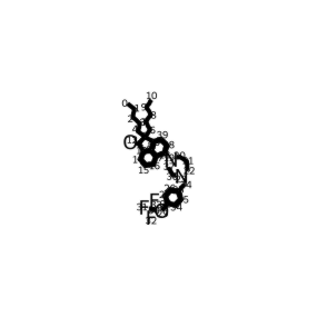 CCCCCC1(CCCCC)C(=O)c2cccc3c(N4CCCN(Cc5ccc(OC(F)(F)F)cc5)CC4)ccc1c23